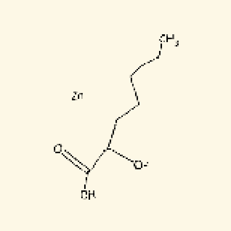 CCCCCC(O)C(=O)O.[Zn]